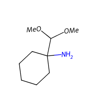 COC(OC)C1(N)CCCCC1